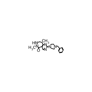 CC1CNN(C)C(=O)c2cnc(N3CCN(Cc4ccccc4)CC3)nc21